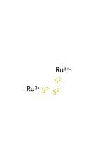 [Ru+3].[Ru+3].[S-2].[S-2].[S-2]